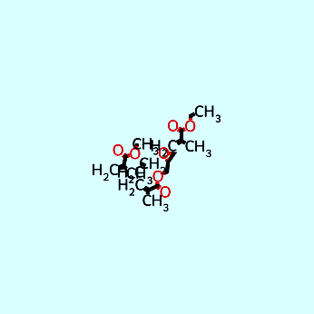 C=C.C=C(C)C(=O)OC.C=C(C)C(=O)OCC.C=C(C)C(=O)OCC1CO1